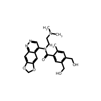 Cc1cc(CO)c(CO)cc1C(=O)N(CCN(C)C)c1cnnc2cc3c(cc12)OCO3